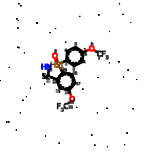 O=[SH]1(c2ccc(OC(F)(F)F)cc2)N[Se]c2cc(OC(F)(F)F)ccc21